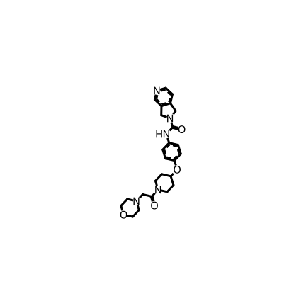 O=C(CN1CCOCC1)N1CCC(Oc2ccc(NC(=O)N3Cc4ccncc4C3)cc2)CC1